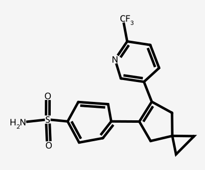 NS(=O)(=O)c1ccc(C2=C(c3ccc(C(F)(F)F)nc3)CC3(CC3)C2)cc1